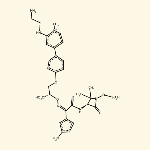 C[n+]1ccc(-c2ccc(OC[C@H](O/N=C(\C(=O)N[C@@H]3C(=O)N(OS(=O)(=O)O)C3(C)C)c3csc(N)n3)C(=O)O)cc2)cc1NCCN